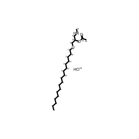 CCCCCCCCCCCCCCCCCCOCC(CNC)OC(C)=O.Cl